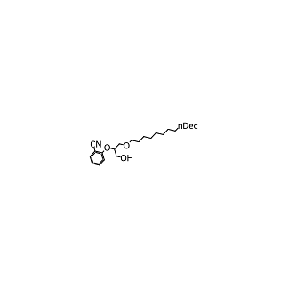 CCCCCCCCCCCCCCCCCCOCC(CO)Oc1ccccc1C#N